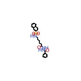 O=C(CCCCCNS(=O)(=O)c1ccc2ccccc2c1)NNC(=O)c1ccccc1